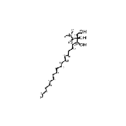 CCCCCCCCCCCCCCCCCCC(O)C(O)(CO)C(=O)N(C)C